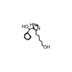 OCCCCCc1nc[nH]c1C(O)c1ccccc1